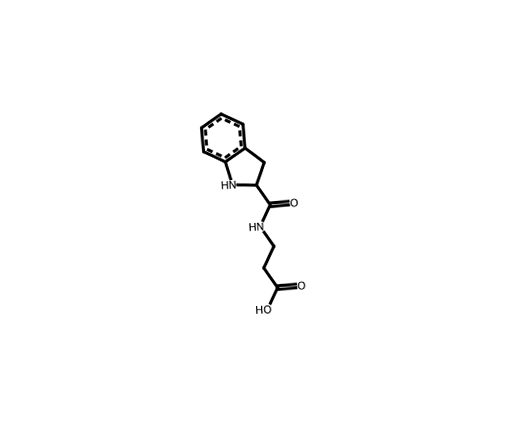 O=C(O)CCNC(=O)C1Cc2ccccc2N1